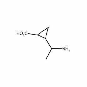 CC(N)C1CC1C(=O)O